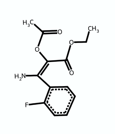 CCOC(=O)/C(OC(C)=O)=C(/N)c1ccccc1F